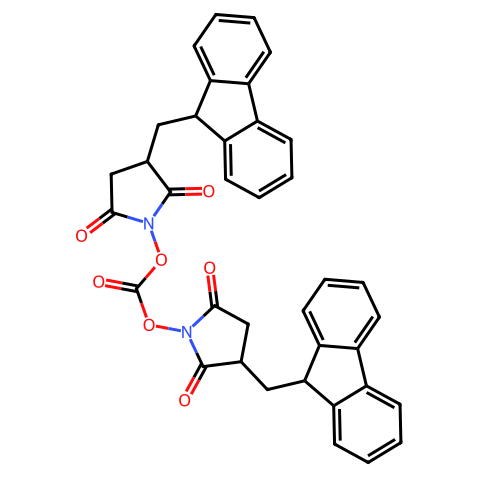 O=C(ON1C(=O)CC(CC2c3ccccc3-c3ccccc32)C1=O)ON1C(=O)CC(CC2c3ccccc3-c3ccccc32)C1=O